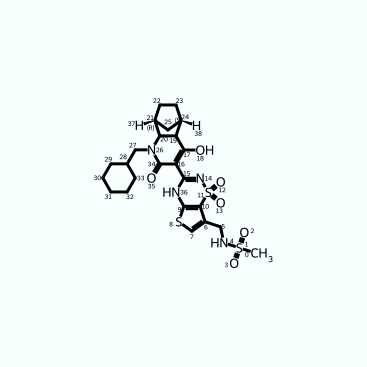 CS(=O)(=O)NCc1csc2c1S(=O)(=O)N=C(C1=C(O)C3C([C@@H]4CC[C@H]3C4)N(CC3CCCCC3)C1=O)N2